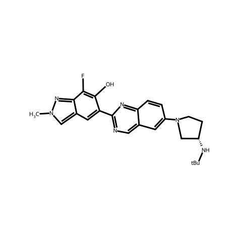 Cn1cc2cc(-c3ncc4cc(N5CC[C@H](NC(C)(C)C)C5)ccc4n3)c(O)c(F)c2n1